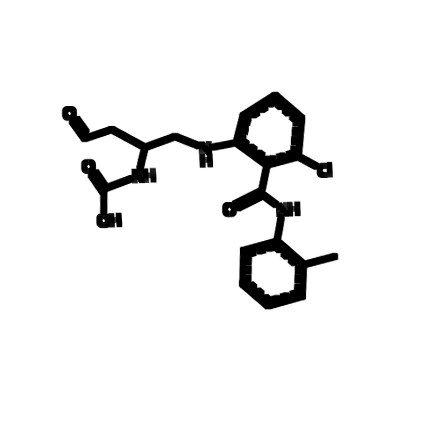 Cc1ccccc1NC(=O)c1c(Cl)cccc1NCC(CC=O)NC(=O)O